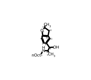 CCCCCCCCNC(C)C(O)c1ccc2c(c1)CC(C)O2